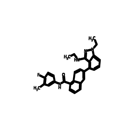 CCNc1nn(CC)c2cccc(-c3ccc4c(C(=O)Nc5ccc(F)c(C)c5)cccc4c3)c12